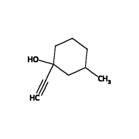 C#CC1(O)CCCC(C)C1